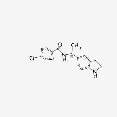 C[C@@H](NC(=O)c1ccc(Cl)cc1)c1ccc2c(c1)CCN2